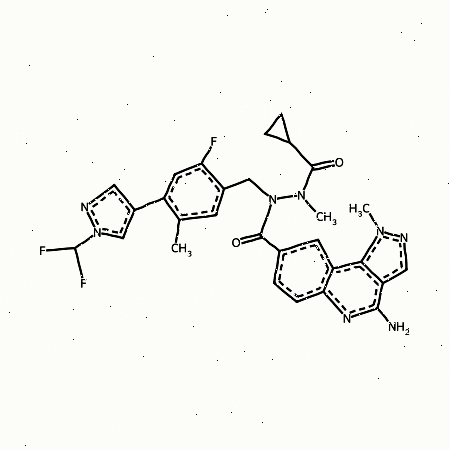 Cc1cc(CN(C(=O)c2ccc3nc(N)c4cnn(C)c4c3c2)N(C)C(=O)C2CC2)c(F)cc1-c1cnn(C(F)F)c1